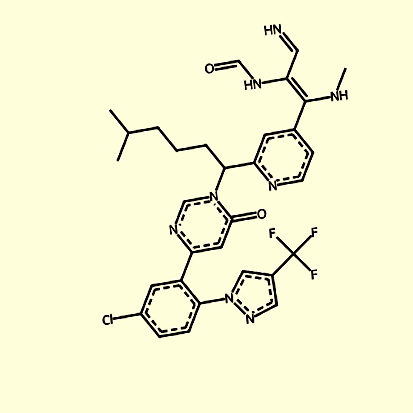 CN/C(=C(\C=N)NC=O)c1ccnc(C(CCCC(C)C)n2cnc(-c3cc(Cl)ccc3-n3cc(C(F)(F)F)cn3)cc2=O)c1